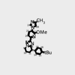 COc1nc(-c2nc3n(n2)CCC[C@@H]3c2ccc(C(C)(C)C)cc2)ccc1-n1cnc(C)c1